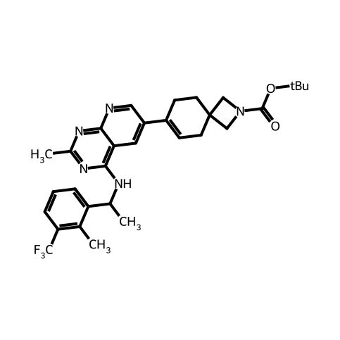 Cc1nc(NC(C)c2cccc(C(F)(F)F)c2C)c2cc(C3=CCC4(CC3)CN(C(=O)OC(C)(C)C)C4)cnc2n1